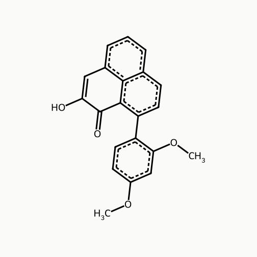 COc1ccc(-c2ccc3cccc4c3c2C(=O)C(O)=C4)c(OC)c1